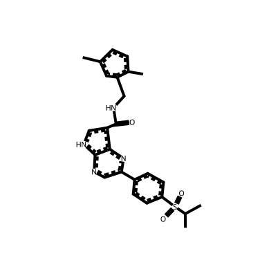 Cc1ccc(C)c(CNC(=O)c2c[nH]c3ncc(-c4ccc(S(=O)(=O)C(C)C)cc4)nc23)c1